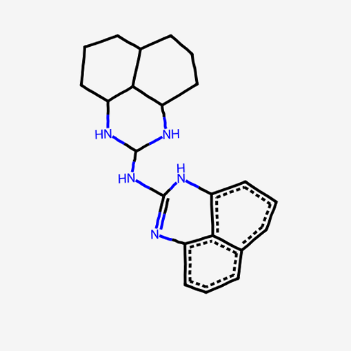 c1cc2c3c(cccc3c1)NC(NC1NC3CCCC4CCCC(N1)C43)=N2